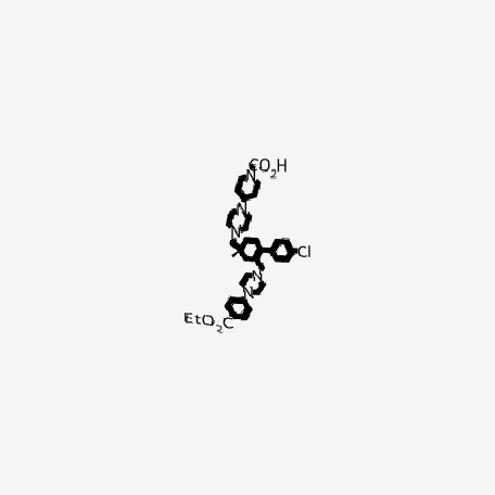 CCOC(=O)c1ccc(N2CCN(CC3=C(c4ccc(Cl)cc4)CC[C@@](C)(CN4CCN(C5CCN(C(=O)O)CC5)CC4)C3)CC2)cc1